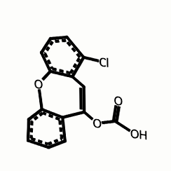 O=C(O)OC1=Cc2c(Cl)cccc2Oc2ccccc21